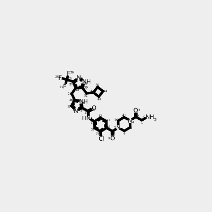 NCC(=O)N1CCN(C(=O)c2ccc(NC(=O)c3ncc(Cc4c(C(F)(F)F)n[nH]c4CC4CCC4)[nH]3)cc2Cl)CC1